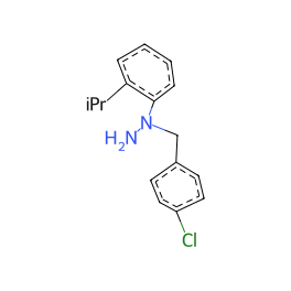 CC(C)c1ccccc1N(N)Cc1ccc(Cl)cc1